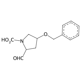 O=CC1CC(OCc2ccccc2)CN1C(=O)O